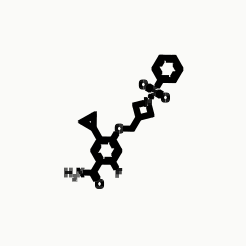 NC(=O)c1cc(C2CC2)c(OCC2CN(S(=O)(=O)c3ccccc3)C2)cc1F